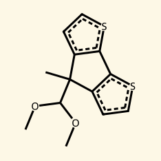 COC(OC)C1(C)c2ccsc2-c2sccc21